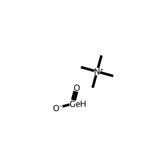 C[N+](C)(C)C.[O]=[GeH][O-]